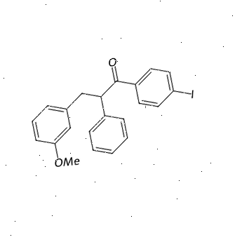 COc1cccc(CC(C(=O)c2ccc(I)cc2)c2ccccc2)c1